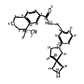 C[C@@]1(C#N)COCc2ccc(C(=O)NCc3cc(N4CCC5(CNC5)C4)ccn3)cc21